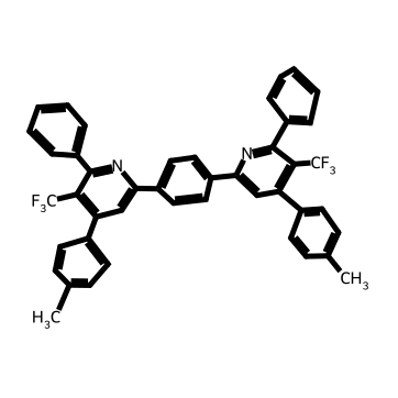 Cc1ccc(-c2cc(-c3ccc(-c4cc(-c5ccc(C)cc5)c(C(F)(F)F)c(-c5ccccc5)n4)cc3)nc(-c3ccccc3)c2C(F)(F)F)cc1